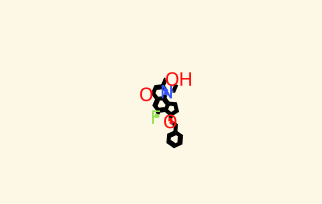 CCn1c(CO)cc(=O)c2cc(F)c3c(c21)CCC3OCc1ccccc1